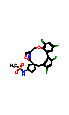 CS(=O)(=O)N[C@H]1CC[C@@]2(Cc3cc(c(F)cc3F)-c3cc(F)cc(F)c3OCc3coc2n3)C1